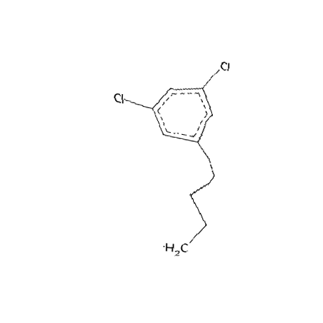 [CH2]CCCc1cc(Cl)cc(Cl)c1